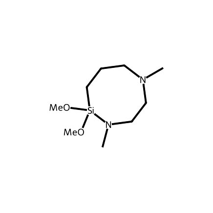 CO[Si]1(OC)CCCN(C)CCN1C